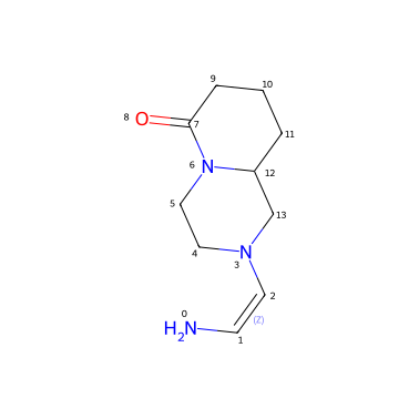 N/C=C\N1CCN2C(=O)CCCC2C1